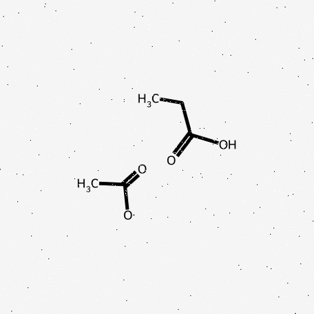 CC([O])=O.CCC(=O)O